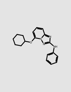 c1ccc(Nc2nc3cccc(OC4CCCCC4)n3n2)cc1